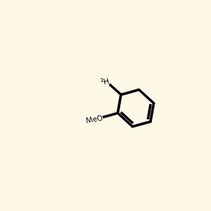 [2H]C1CC=CC=C1OC